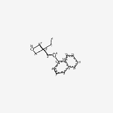 CCC1(COc2cccc3ccccc23)COC1